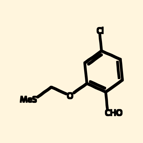 CSCOc1cc(Cl)ccc1C=O